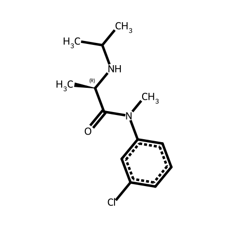 CC(C)N[C@H](C)C(=O)N(C)c1cccc(Cl)c1